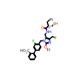 CCOc1nc(CF)c(CNC(=O)[C@@H](CS)CC(C)C)n1Cc1ccc(-c2ccccc2C(=O)O)cc1F